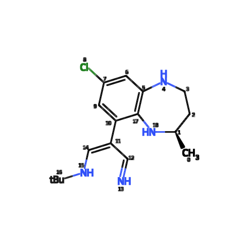 C[C@@H]1CCNc2cc(Cl)cc(/C(C=N)=C/NC(C)(C)C)c2N1